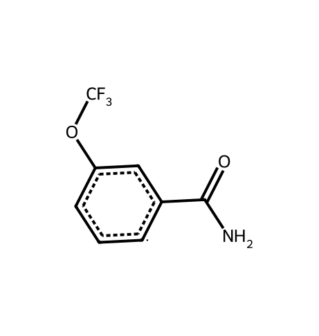 NC(=O)c1[c]ccc(OC(F)(F)F)c1